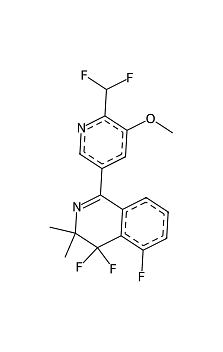 COc1cc(C2=NC(C)(C)C(F)(F)c3c(F)cccc32)cnc1C(F)F